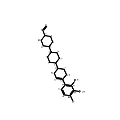 C=CC1CCC(C2CCC(C3CC=C(c4ccc(C)c(F)c4F)CC3)CC2)CC1